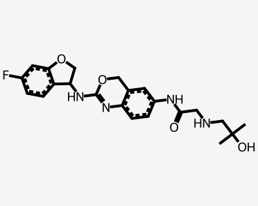 CC(C)(O)CNCC(=O)Nc1ccc2c(c1)COC(NC1COc3cc(F)ccc31)=N2